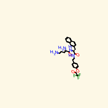 NCCC[C@@H](N)C(=O)N[C@@H](Cc1ccc2ccccc2c1)C(=O)NCCc1ccc(OC(=O)C(F)(F)F)cc1